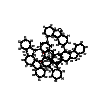 c1ccc(-c2nc(-c3cccc4oc5ccc(-c6cc(-n7c8ccccc8c8ccccc87)cc7sc8ccccc8c67)cc5c34)nc(-n3c4ccccc4c4ccc5c6ccccc6n(-c6ccccc6)c5c43)n2)cc1